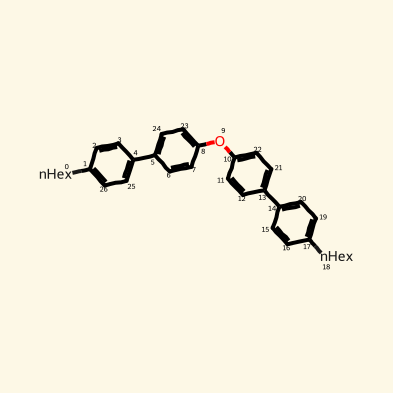 CCCCCCc1ccc(-c2ccc(Oc3ccc(-c4ccc(CCCCCC)cc4)cc3)cc2)cc1